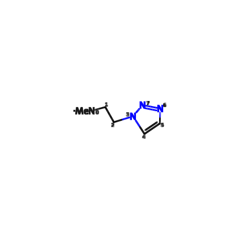 C[N]CCn1ccnn1